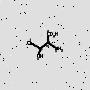 N[C@H](C(=O)O)C(O)Cl